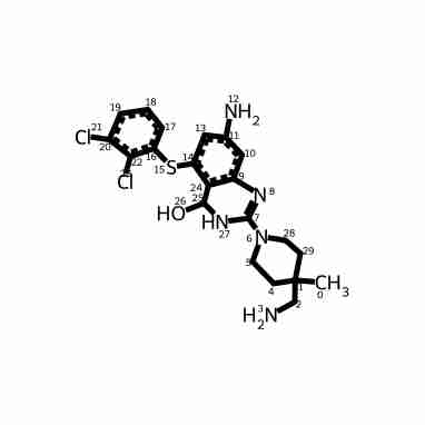 CC1(CN)CCN(C2=Nc3cc(N)cc(Sc4cccc(Cl)c4Cl)c3C(O)N2)CC1